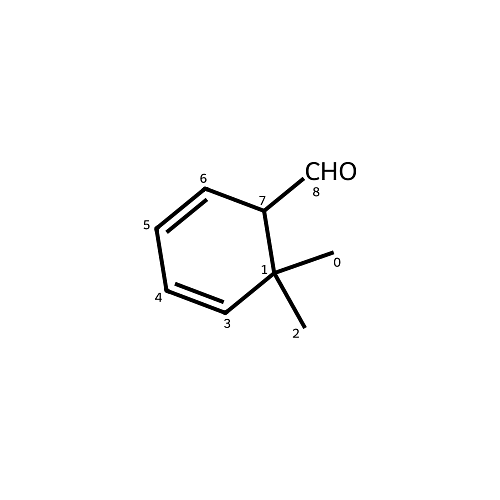 CC1(C)C=CC=CC1C=O